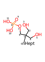 CCCCCCCC(CO)(CO)COP(=O)(O)O